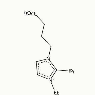 CCCCCCCCCCCn1cc[n+](CC)c1C(C)C